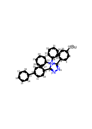 CC(C)(C)c1ccc(C2=NN=C(c3ccc(-c4ccccc4)cc3)[N+]2(c2ccccc2)c2ccccc2)cc1